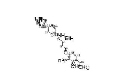 CCCc1c(OCCCCNc2ccc(-c3nn[nH]n3)cc2)ccc(CC=O)c1O.Cl